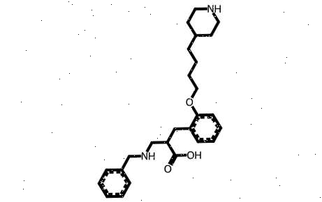 O=C(O)C(CNCc1ccccc1)Cc1ccccc1OCCCCC1CCNCC1